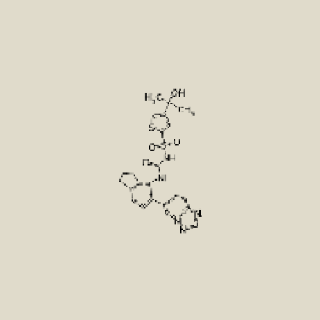 CC(C)(O)c1csc(S(=O)(=O)NC(=O)Nc2c(-c3ccc4ncnn4c3)ccc3c2CCC3)c1